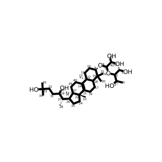 CC(O)C(CO)OC(O[C@H]1CC[C@]2(C)C3=C(CCC2C1(C)C)[C@]1(C)CCC([C@H](C)C(O)CCC(C)(C)O)[C@@]1(C)CC3)C(O)O